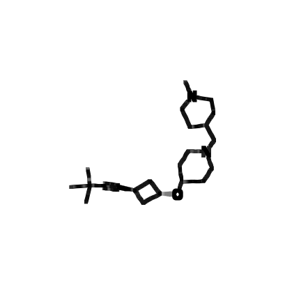 CN1CCC(CN2CCC(O[C@H]3C[C@H](C#CC(C)(C)C)C3)CC2)CC1